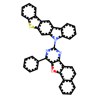 c1ccc(-c2nc(-n3c4ccccc4c4cc5c(cc43)sc3ccccc35)nc3c2oc2c4ccccc4ccc32)cc1